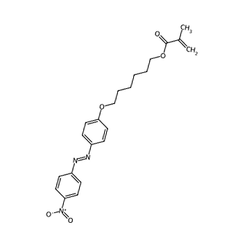 C=C(C)C(=O)OCCCCCCOc1ccc(N=Nc2ccc([N+](=O)[O-])cc2)cc1